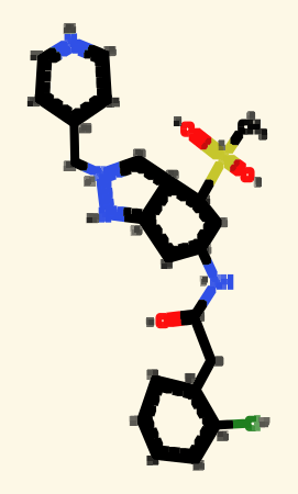 CS(=O)(=O)c1cc(NC(=O)Cc2ccccc2Cl)cc2nn(Cc3ccncc3)cc12